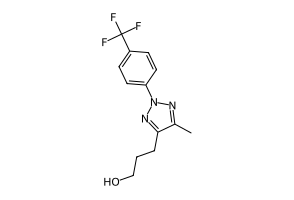 Cc1nn(-c2ccc(C(F)(F)F)cc2)nc1CCCO